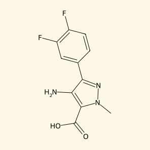 Cn1nc(-c2ccc(F)c(F)c2)c(N)c1C(=O)O